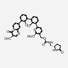 COc1nc(-c2cccc(-c3cccc(-c4ccn5c(=O)c(C=O)cnc5c4)c3Cl)c2Cl)ccc1COC(=O)NC[C@@H]1CCC(=O)N1